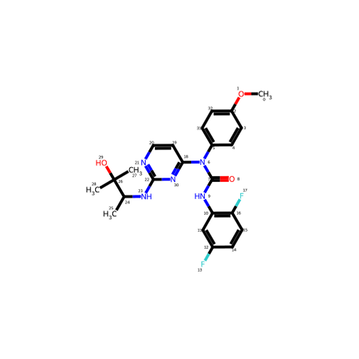 COc1ccc(N(C(=O)Nc2cc(F)ccc2F)c2ccnc(NC(C)C(C)(C)O)n2)cc1